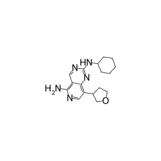 Nc1ncc(C2CCOC2)c2nc(NC3CCCCC3)ncc12